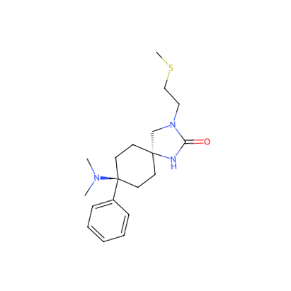 CSCCN1C[C@]2(CC[C@](c3ccccc3)(N(C)C)CC2)NC1=O